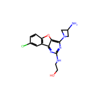 NC1CN(c2nc(NCCO)nc3c2oc2ccc(Cl)cc23)C1